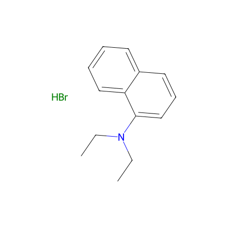 Br.CCN(CC)c1cccc2ccccc12